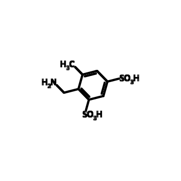 Cc1cc(S(=O)(=O)O)cc(S(=O)(=O)O)c1CN